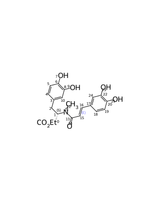 CCOC(=O)[C@H](Cc1ccc(O)c(O)c1)N(C)C(=O)/C=C/c1ccc(O)c(O)c1